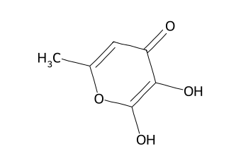 Cc1cc(=O)c(O)c(O)o1